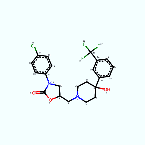 O=C1OC(CN2CCC(O)(c3cccc(C(F)(F)F)c3)CC2)CN1c1ccc(Cl)cc1